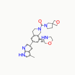 Cc1c[nH]c2ncc(-c3cc4c(c([C@@H]5COCCN5)c3)CN(C(=O)N3CCC5(COC5)C3)CC4)cc12